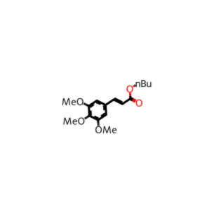 CCCCOC(=O)C=Cc1cc(OC)c(OC)c(OC)c1